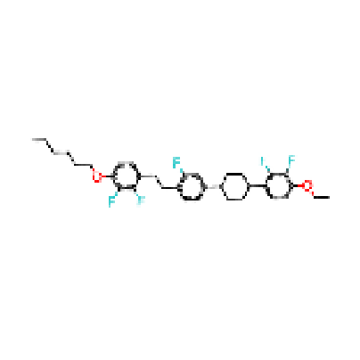 CCCCCCOc1ccc(CCc2ccc(C3CCC(c4ccc(OCC)c(F)c4F)CC3)cc2F)c(F)c1F